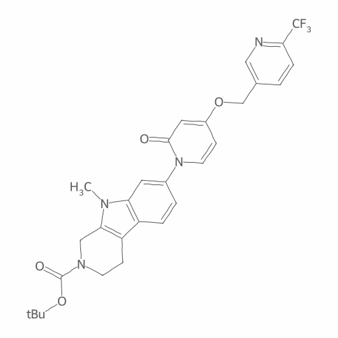 Cn1c2c(c3ccc(-n4ccc(OCc5ccc(C(F)(F)F)nc5)cc4=O)cc31)CCN(C(=O)OC(C)(C)C)C2